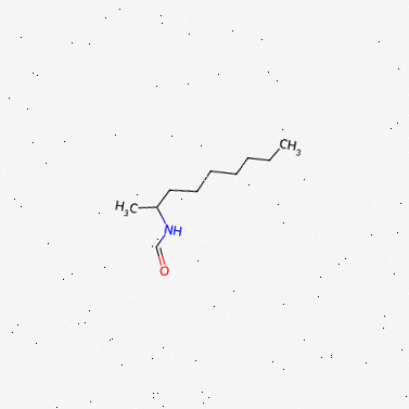 CCCCCCCC(C)N[C]=O